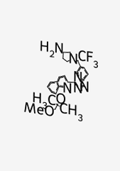 COCC(C)(C)Oc1cccc2ccc(-c3nnc4ccc([C@@H](N5CCC(N)C5)C(F)(F)F)cn34)nc12